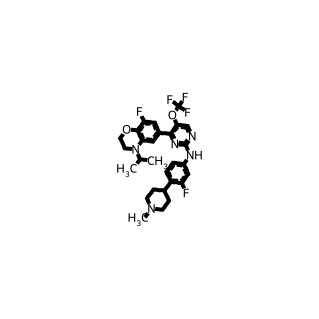 CC(C)N1CCOc2c(F)cc(-c3nc(Nc4ccc(C5CCN(C)CC5)c(F)c4)ncc3OC(F)(F)F)cc21